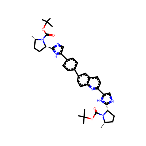 C[C@H]1CC[C@@H](c2ncc(-c3ccc(-c4ccc5nc(-c6cnc([C@@H]7CC[C@H](C)N7C(=O)OC(C)(C)C)[nH]6)ccc5c4)cc3)[nH]2)N1C(=O)OC(C)(C)C